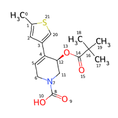 Cc1cc(C2=CCN(C(=O)O)C[C@@H]2OC(=O)C(C)(C)C)cs1